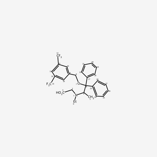 CCN(CC(=O)O)C(C)C(OCc1cc(C(F)(F)F)cc(C(F)(F)F)c1)(c1ccccc1)c1ccccc1